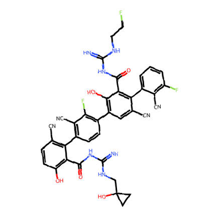 N#Cc1ccc(O)c(C(=O)NC(=N)NCC2(O)CC2)c1-c1ccc(-c2cc(C#N)c(-c3cccc(F)c3C#N)c(C(=O)NC(=N)NCCF)c2O)c(F)c1C#N